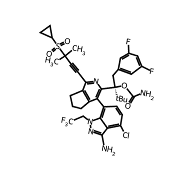 CC(C)(C)[C@](Cc1cc(F)cc(F)c1)(OC(N)=O)c1nc(C#CC(C)(C)S(=O)(=O)C2CC2)c2c(c1-c1ccc(Cl)c3c(N)nn(CC(F)(F)F)c13)CCC2